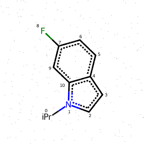 CC(C)n1ccc2ccc(F)cc21